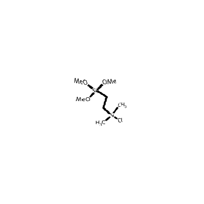 CO[Si](CC[Si](C)(C)Cl)(OC)OC